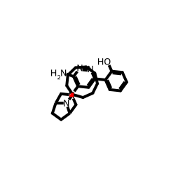 Nc1nnc(-c2ccccc2O)cc1N1CC2CCC(C1)N2C1CCCCCCCC1